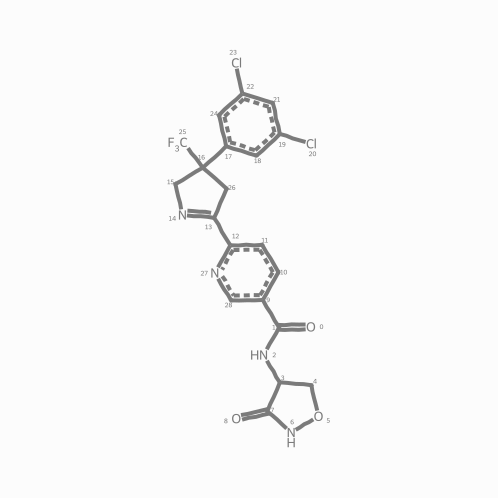 O=C(NC1CONC1=O)c1ccc(C2=NCC(c3cc(Cl)cc(Cl)c3)(C(F)(F)F)C2)nc1